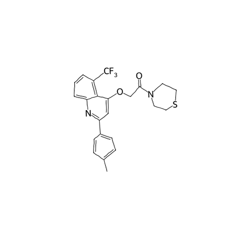 Cc1ccc(-c2cc(OCC(=O)N3CCSCC3)c3c(C(F)(F)F)cccc3n2)cc1